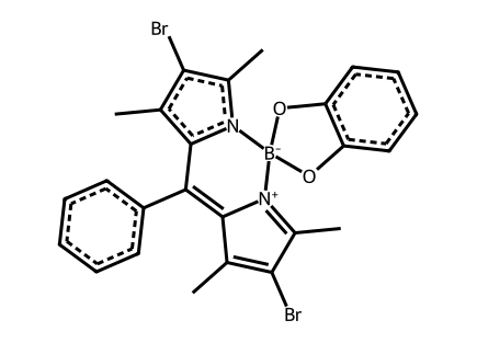 CC1=C(Br)C(C)=[N+]2C1=C(c1ccccc1)c1c(C)c(Br)c(C)n1[B-]21Oc2ccccc2O1